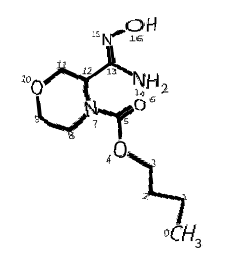 CCCCOC(=O)N1CCOCC1/C(N)=N/O